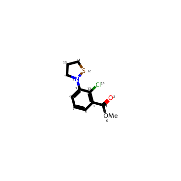 COC(=O)c1cccc(N2CCCS2)c1Cl